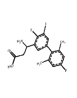 Cc1cc(F)cc(C)c1-c1cc(F)c(F)c(C(N)CC(=O)O)c1